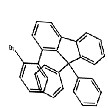 Brc1ccccc1-c1cccc2c1C(c1ccccc1)(c1ccccc1)c1ccccc1-2